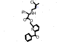 C/C(Cl)=C/CNC(C(=O)OCc1cccc(C(=O)c2ccccc2)n1)C(C)C